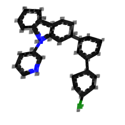 Brc1ccc(-c2cccc(-c3ccc4c5ccccc5n(-c5cccnc5)c4c3)c2)cc1